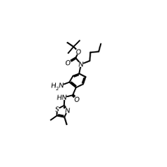 CCCCN(C(=O)OC(C)(C)C)c1ccc(C(=O)Nc2nc(C)c(C)s2)c(N)c1